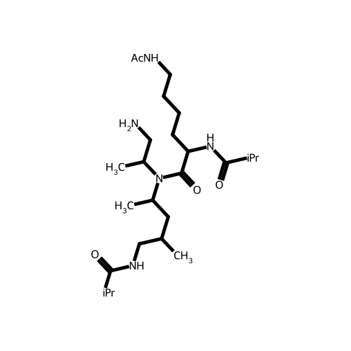 CC(=O)NCCCCC(NC(=O)C(C)C)C(=O)N(C(C)CN)C(C)CC(C)CNC(=O)C(C)C